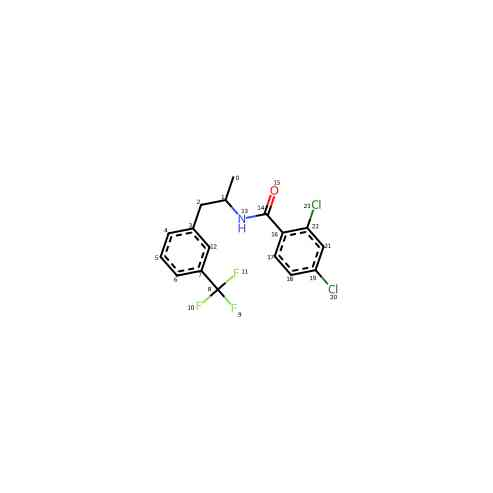 CC(Cc1cccc(C(F)(F)F)c1)NC(=O)c1ccc(Cl)cc1Cl